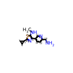 CNc1sc(C2CC2)nc1-c1ccc(CN)nc1